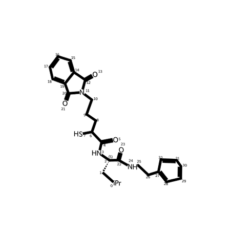 CC(C)C[C@H](NC(=O)C(S)CCCN1C(=O)c2ccccc2C1=O)C(=O)NCCc1ccccc1